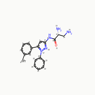 CCCc1cccc(-c2cc(NC(=O)[C@H](N)CN)nn2-c2ccccc2)c1